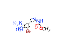 COCC(=O)Nc1cc(-c2cc(Br)c3[nH]nc(N)c3c2)ccn1